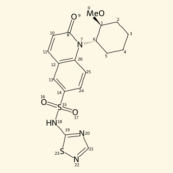 CO[C@H]1CCCC[C@@H]1n1c(=O)ccc2cc(S(=O)(=O)Nc3ncns3)ccc21